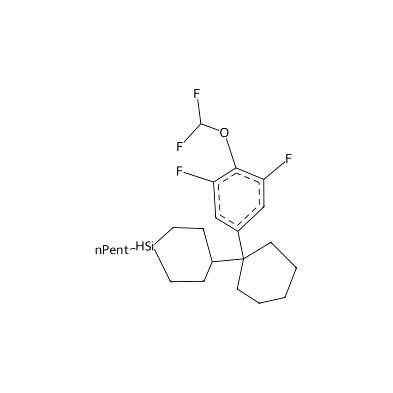 CCCCC[SiH]1CCC(C2(c3cc(F)c(OC(F)F)c(F)c3)CCCCC2)CC1